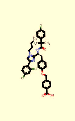 CCCCn1cc(-c2ccc(Cl)cc2Cl)nc1[C@H](Cc1ccc(OCc2ccc(C(=O)O)cc2)cc1)NC(=O)C(C)(C)c1ccc(Cl)cc1